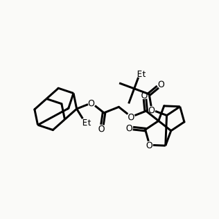 CCC(C)(C)C(=O)OC1C2CC3C1OC(=O)C3(C(=O)OCC(=O)OC1(CC)C3CC4CC(C3)CC1C4)C2